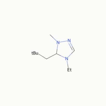 CCN1C=NN(C)C1CC(C)(C)C